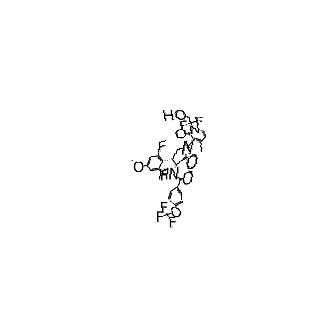 COc1cc(F)c([C@@H]2CN(c3c(C)ccn(C(F)(F)CO)c3=O)C(=O)C2NC(=O)c2ccc(OC(F)(F)F)cc2)c(F)c1